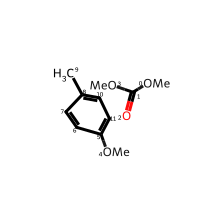 COC(=O)OC.COc1ccc(C)cc1